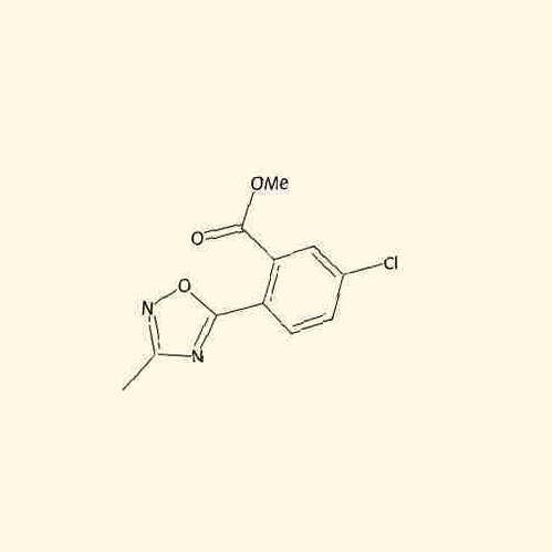 COC(=O)c1cc(Cl)ccc1-c1nc(C)no1